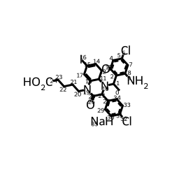 CC(c1ccc(Cl)cc1N)N1C2C(=O)C=C(I)C=C2N(CCCCC(=O)O)C(=O)C1c1ccc(Cl)cc1.[NaH]